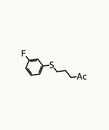 CC(=O)CCCSc1cccc(F)c1